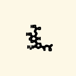 BN1CC(N(C)CC(C)=O)CC1C(=O)NC(CCC(=O)O)C(=O)O